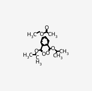 CC(C)OC(=O)c1ccccc1C(=O)OC(C)C.CCOC(C)=O